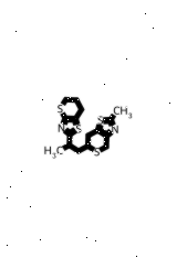 Cc1nc2c(s1)CC(CC(C)c1nc3c(s1)CCCS3)SC2